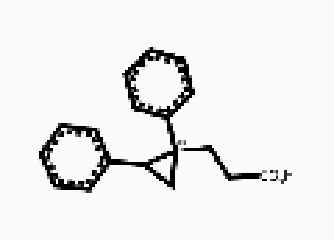 O=C(O)CC[C@@]1(c2ccccc2)CC1c1ccccc1